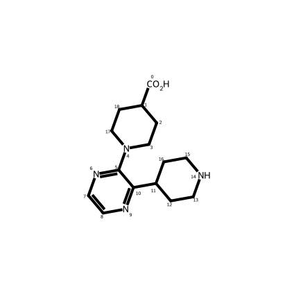 O=C(O)C1CCN(c2nccnc2C2CCNCC2)CC1